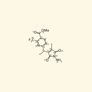 COC(=O)c1cnc(C(C)C2=C(C)C(=O)N(N)C2=O)nc1C(F)(F)F